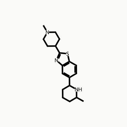 CC1CCCC(c2ccc3sc(C4CCN(C)CC4)nc3c2)N1